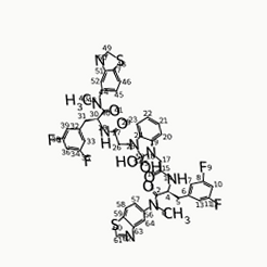 CN(C(=O)[C@H](Cc1cc(F)cc(F)c1)NC(=O)CN1c2ccccc2N(CC(=O)N[C@@H](Cc2cc(F)cc(F)c2)C(=O)N(C)c2ccc3scnc3c2)C1(O)O)c1ccc2scnc2c1